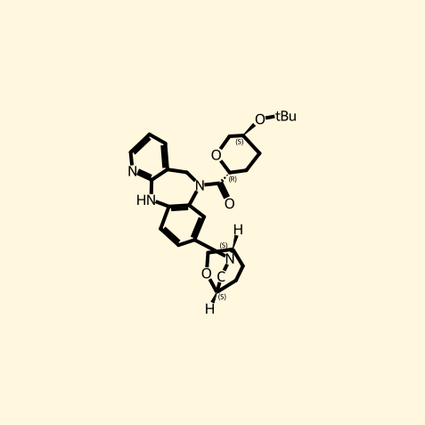 CC(C)(C)O[C@H]1CC[C@H](C(=O)N2Cc3cccnc3Nc3ccc(N4C[C@@H]5CC[C@H]4CO5)cc32)OC1